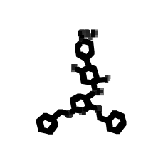 O=C(O)N1CC=C(c2cc(F)c(Nc3ccc(OCc4ccccc4)nc3OCc3ccccc3)cc2F)CC1